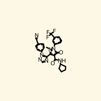 Cn1c(-c2ncnn2-c2ccc(C#N)cc2)c(C(=O)NC2CCCC2)c(=O)n1-c1cccc(C(F)(F)F)c1